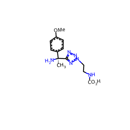 COc1ccc([C@](C)(N)c2nnn(CCNC(=O)O)n2)cc1